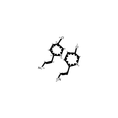 N#CC=Cc1ccc(Cl)cn1.N#CC=Cc1ccc(Cl)cn1